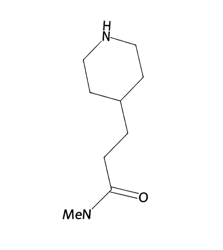 CNC(=O)CCC1CCNCC1